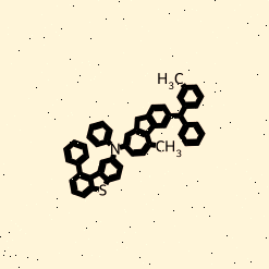 CC1=C=CC(N(c2ccccc2)c2ccc3sc4cccc(-c5ccccc5)c4c3c2)=CC2=C1c1cc(C(c3ccccc3)c3cccc(C)c3)ccc1C2